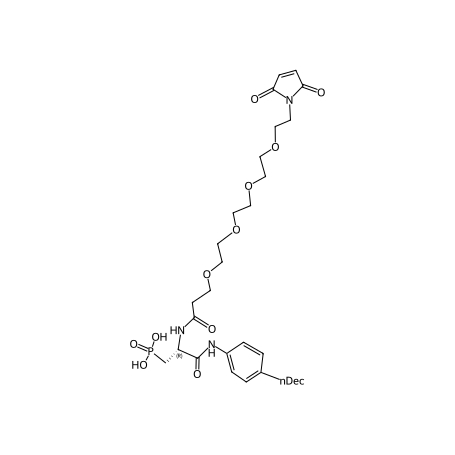 CCCCCCCCCCc1ccc(NC(=O)[C@H](CP(=O)(O)O)NC(=O)CCOCCOCCOCCOCCN2C(=O)C=CC2=O)cc1